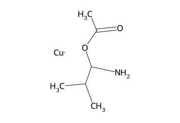 CC(=O)OC(N)C(C)C.[Cu]